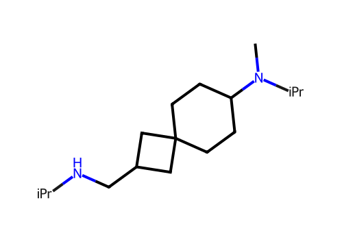 CC(C)NCC1CC2(CCC(N(C)C(C)C)CC2)C1